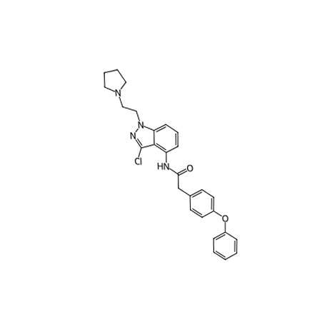 O=C(Cc1ccc(Oc2ccccc2)cc1)Nc1cccc2c1c(Cl)nn2CCN1CCCC1